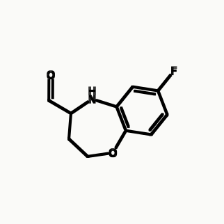 O=CC1CCOc2ccc(F)cc2N1